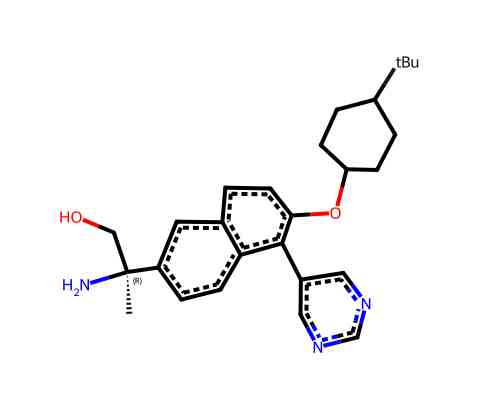 CC(C)(C)C1CCC(Oc2ccc3cc([C@@](C)(N)CO)ccc3c2-c2cncnc2)CC1